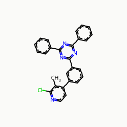 Cc1c(-c2cccc(-c3nc(-c4ccccc4)nc(-c4ccccc4)n3)c2)ccnc1Cl